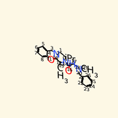 CC(C)CN(Cc1ccccc1)C(=O)C(C)NC(=O)CN(C)Cc1ccccc1